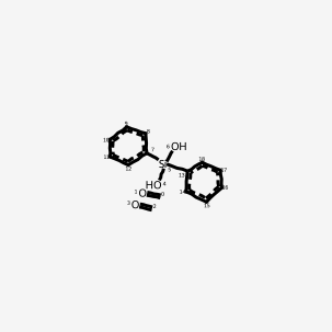 C=O.C=O.O[Si](O)(c1ccccc1)c1ccccc1